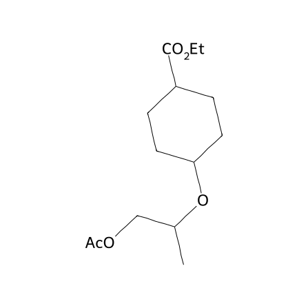 CCOC(=O)C1CCC(OC(C)COC(C)=O)CC1